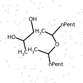 CC(O)CO.CCCCCC(C)OC(C)CCCCC